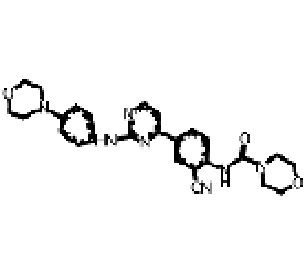 N#Cc1cc(-c2ccnc(Nc3ccc(N4CCOCC4)cc3)n2)ccc1NC(=O)N1CCOCC1